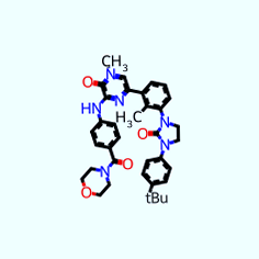 Cc1c(-c2cn(C)c(=O)c(Nc3ccc(C(=O)N4CCOCC4)cc3)n2)cccc1N1CCN(c2ccc(C(C)(C)C)cc2)C1=O